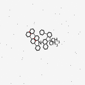 CC1(C)c2cccc(-c3ccccc3)c2-c2cc(N(c3ccc(-c4ccccc4)cc3)c3ccccc3-c3ccc(-c4ccccc4)cc3)c3ccccc3c21